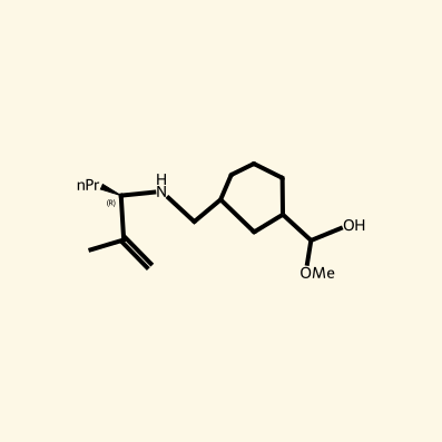 C=C(C)[C@@H](CCC)NCC1CCCC(C(O)OC)C1